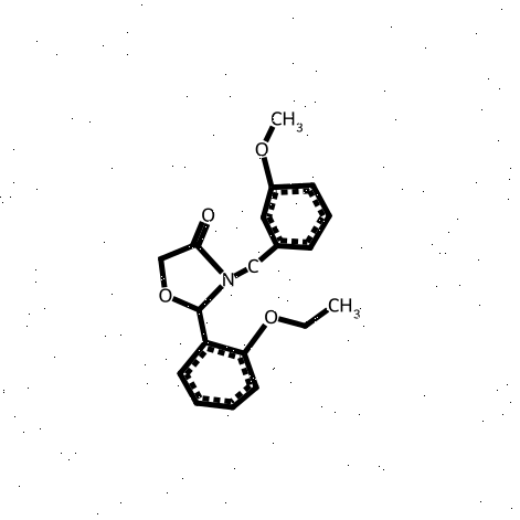 CCOc1ccccc1C1OCC(=O)N1Cc1cccc(OC)c1